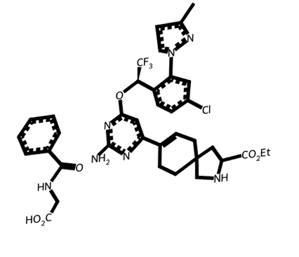 CCOC(=O)C1CC2(CC=C(c3cc(O[C@H](c4ccc(Cl)cc4-n4ccc(C)n4)C(F)(F)F)nc(N)n3)CC2)CN1.O=C(O)CNC(=O)c1ccccc1